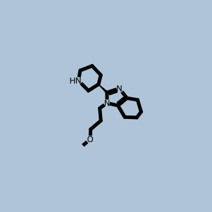 COCCCn1c([C@@H]2CCCNC2)nc2c1CCCC2